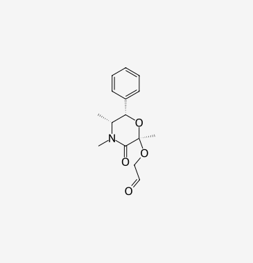 C[C@@H]1[C@H](c2ccccc2)O[C@@](C)(OCC=O)C(=O)N1C